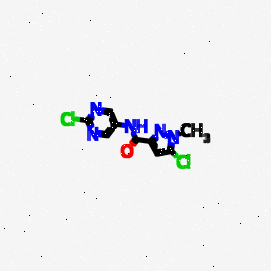 Cn1nc(C(=O)Nc2cnc(Cl)nc2)cc1Cl